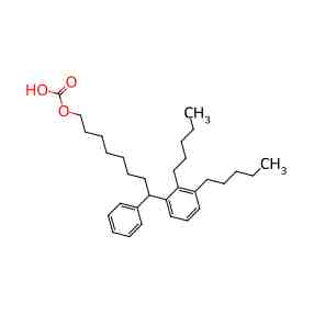 CCCCCc1cccc(C(CCCCCCCOC(=O)O)c2ccccc2)c1CCCCC